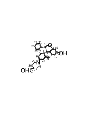 O=CC1CCN(c2ccc([C@@H]3c4ccc(O)cc4OC[C@@H]3c3ccccc3)c(F)c2)CC1